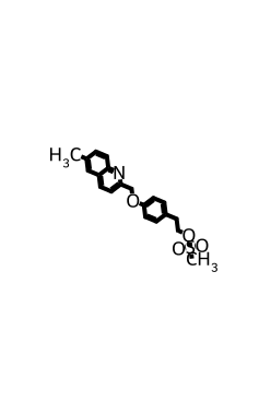 Cc1ccc2nc(COc3ccc(CCOS(C)(=O)=O)cc3)ccc2c1